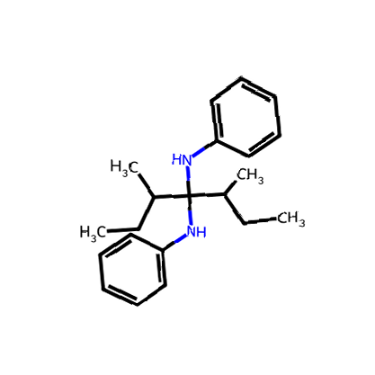 CCC(C)C(Nc1ccccc1)(Nc1ccccc1)C(C)CC